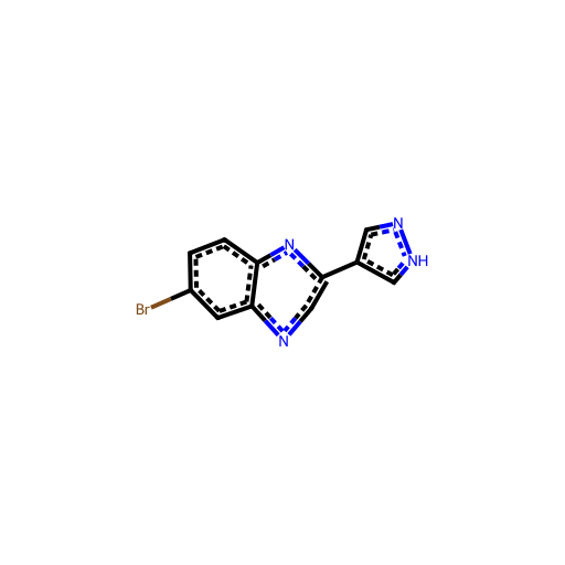 Brc1ccc2nc(-c3cn[nH]c3)cnc2c1